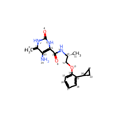 C=C1NC(=O)NC(C(=O)N[C@H](C)COc2ccccc2C2CC2)=C1N